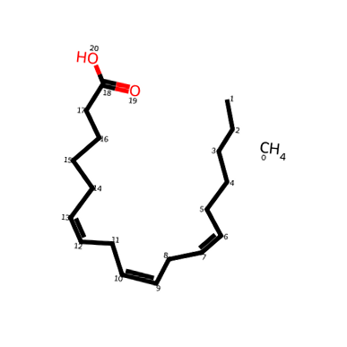 C.CCCCC/C=C\C/C=C\C/C=C\CCCCC(=O)O